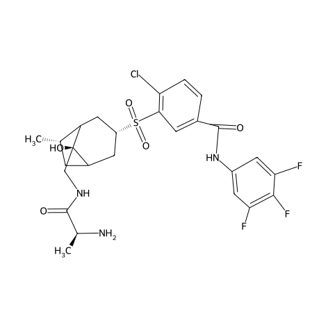 C[C@H](N)C(=O)NC[C@@]1(O)C2C[C@@H](S(=O)(=O)c3cc(C(=O)Nc4cc(F)c(F)c(F)c4)ccc3Cl)CC1[C@@H](C)C2